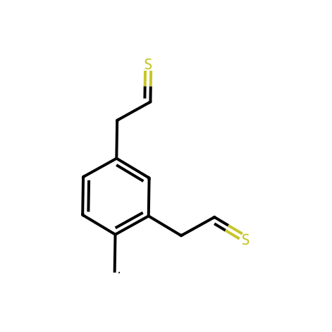 [CH2]c1ccc(CC=S)cc1CC=S